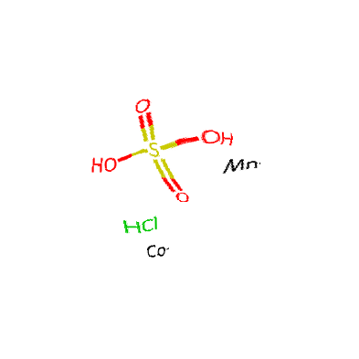 Cl.O=S(=O)(O)O.[Co].[Mn]